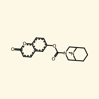 CN1C2CCCC1CN(C(=O)Oc1ccc3oc(=O)ccc3c1)C2